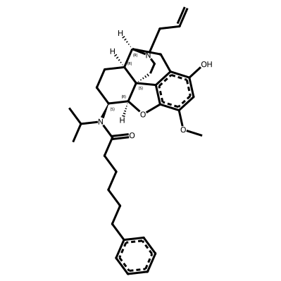 C=CCN1CC[C@]23c4c5c(O)cc(OC)c4O[C@H]2[C@@H](N(C(=O)CCCCCc2ccccc2)C(C)C)CC[C@H]3[C@H]1C5